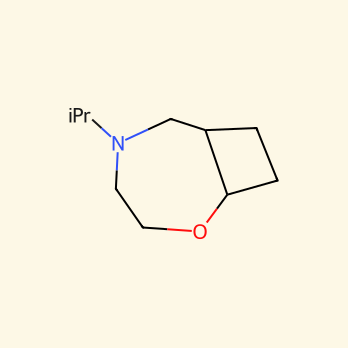 CC(C)N1CCOC2CCC2C1